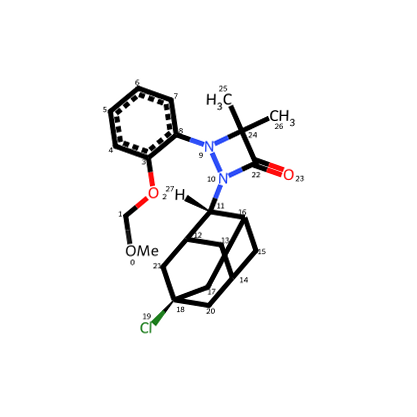 COCOc1ccccc1N1N([C@H]2C3CC4CC2C[C@](Cl)(C4)C3)C(=O)C1(C)C